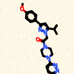 COc1ccc(-c2cc(C(C)C)n(CC(=O)N3CCN(c4cccnn4)CC3)n2)cc1